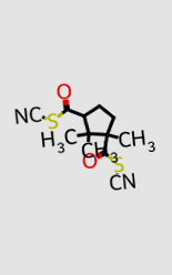 CC1(C(=O)SC#N)CCC(C(=O)SC#N)C1(C)C